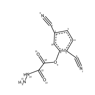 N#Cc1ccc(C#N)c(OC(=O)C(=O)NN)c1